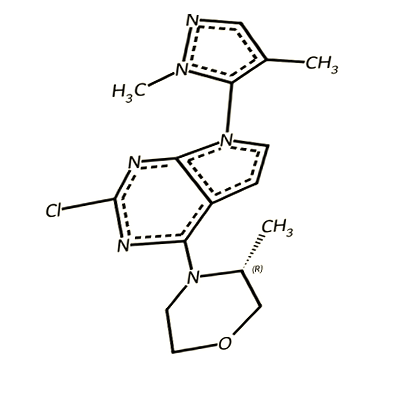 Cc1cnn(C)c1-n1ccc2c(N3CCOC[C@H]3C)nc(Cl)nc21